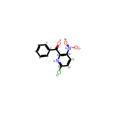 O=C(c1ccccc1)c1nc(Cl)ccc1[N+](=O)[O-]